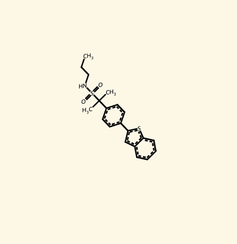 CCCNS(=O)(=O)C(C)(C)c1ccc(-c2cc3ccccc3s2)cc1